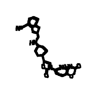 N#Cc1cccc2c1CC(CNC1CCC(C3CN(c4ccc5c(n4)NC(=O)CO5)C(=O)O3)CC1)C2